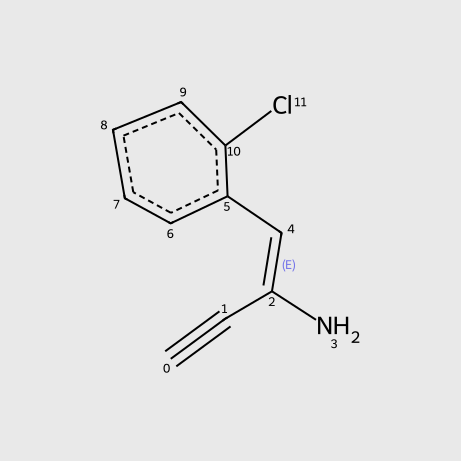 C#C/C(N)=C\c1ccccc1Cl